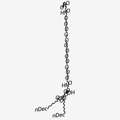 CCCCCCCCCCCCCCCCCC(=O)OC[C@H](COP(=O)(O)OCCNC(=O)CCOCCOCCOCCOCCOCCOCCOCCOCCOCCOCCOCCOCCNC(=O)CCN1C(=O)C=CC1=O)OC(=O)CCCCCCCCCCCCCCCCC